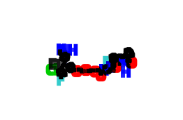 CC/C(=C(/c1ccc(OCCOCCOCC(=O)N2CCN(C(=O)c3cc(Cc4n[nH]c(=O)c5ccccc45)ccc3F)CC2)cc1)c1ccc2[nH]ncc2c1)c1ccc(F)cc1Cl